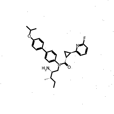 CC[C@H](C)[C@H](N)CN(C(=O)[C@@H]1C[C@H]1c1cccc(F)n1)c1ccc(-c2ccc(OC(C)C)cc2)cc1